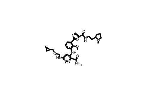 COc1c(Nc2cc(NCOCC3CC3)nnc2C(N)=O)cccc1-c1ncc(C(=O)NCCC2CCCN2C)o1